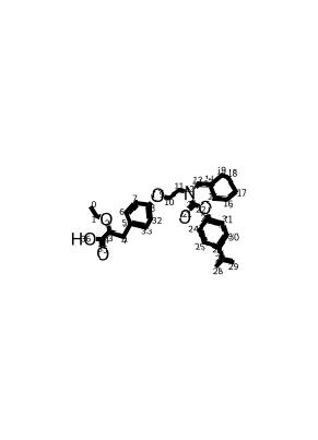 CCOC(Cc1ccc(OCCN(CC2CCCCC2)C(=O)Oc2ccc(C(C)C)cc2)cc1)C(=O)O